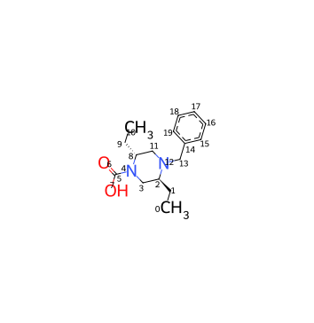 CC[C@H]1CN(C(=O)O)[C@H](CC)CN1Cc1ccccc1